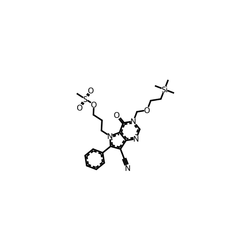 C[Si](C)(C)CCOCn1cnc2c(C#N)c(-c3ccccc3)n(CCCOS(C)(=O)=O)c2c1=O